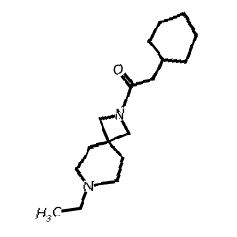 CCN1CCC2(CC1)CN(C(=O)CC1CCCCC1)C2